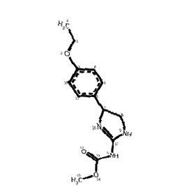 CCOc1ccc(C2CNC(NC(=O)OC)=N2)cc1